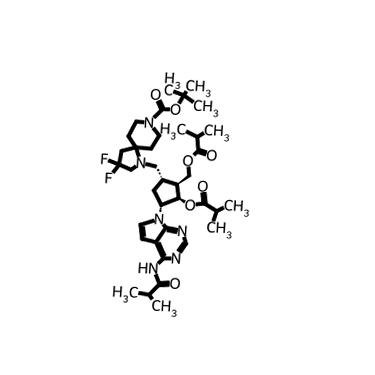 CC(C)C(=O)Nc1ncnc2c1ccn2[C@@H]1C[C@H](CN2CC(F)(F)CC23CCN(C(=O)OC(C)(C)C)CC3)[C@@H](COC(=O)C(C)C)[C@H]1OC(=O)C(C)C